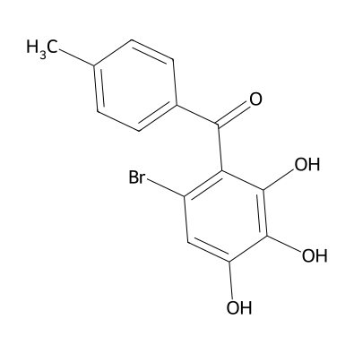 Cc1ccc(C(=O)c2c(Br)cc(O)c(O)c2O)cc1